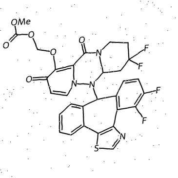 COC(=O)OCOc1c2n(ccc1=O)N(C1c3ccccc3-c3scnc3-c3c1ccc(F)c3F)C1CC(F)(F)CCN1C2=O